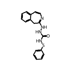 O=C(NNC1=NC=Cc2ccccc2C1)NSc1ccccc1